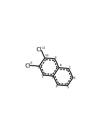 Clc1[c]c2ccc[c]c2cc1Cl